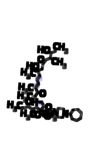 CCC(O)CCC(C)(OC)C(/C=C/C(C)C(=O)/C(C)=C/C=C/C(C)(O)CC1OC1C(C)C(O)CC)OC(=O)N1CCN(C2CCCCCC2)CC1